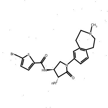 CCC[C@H]1C(=O)N(c2ccc3c(c2)CCN(C)CC3)C[C@@H]1NC(=O)c1ccc(Br)s1